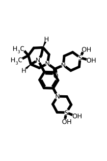 CC1(C)C[C@@H]2CN(C(=O)N3CCS(O)(O)CC3)C[C@H]1N(c1ccc(N3CCS(O)(O)CC3)cc1)C2